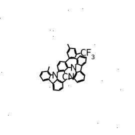 Cc1cc(-c2ccc(-n3c4c(C)cccc4c4cccc(C)c43)c(C#N)c2-n2c3c(C)cccc3c3cccc(C)c32)cc(C(F)(F)F)c1